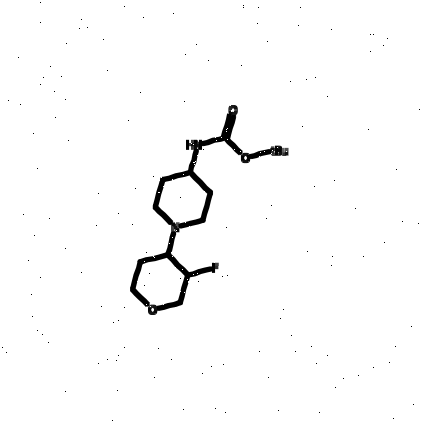 CC(C)(C)OC(=O)NC1CCN(C2CCOCC2F)CC1